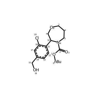 CCCCOC(=O)N1CCCOCC1c1ccc(CO)cc1Cl